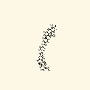 COc1cc2nn(C3CCC(CCN4CCN(c5cccc6c5oc(=O)n6C5CCC(=O)NC5=O)CC4)CC3)cc2cc1C(=O)Nc1cccn(C2CC2)c1=O